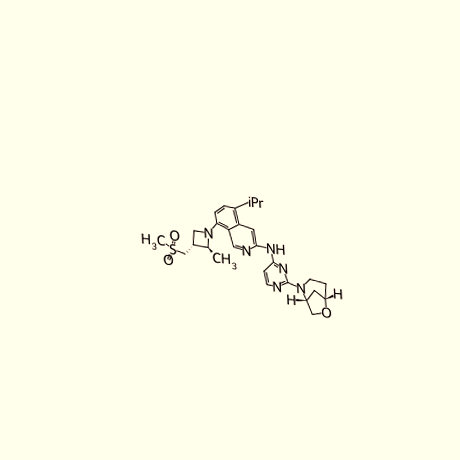 CC(C)c1ccc(N2C[C@@H](CS(C)(=O)=O)[C@@H]2C)c2cnc(Nc3ccnc(N4CC[C@H]5C[C@@H]4CO5)n3)cc12